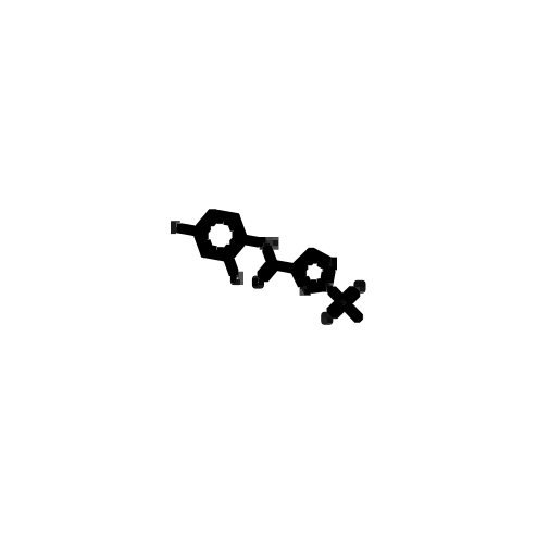 CS(=O)(=O)n1ncc(C(=O)Nc2ccc(F)cc2Cl)n1